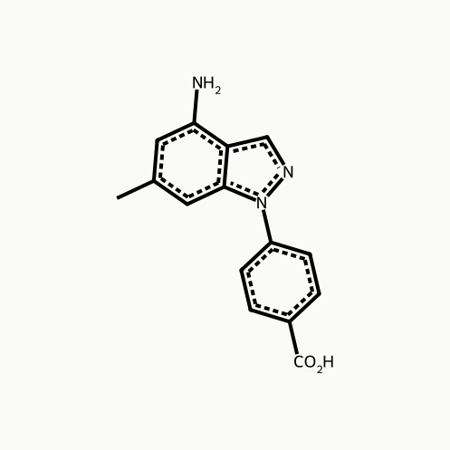 Cc1cc(N)c2cnn(-c3ccc(C(=O)O)cc3)c2c1